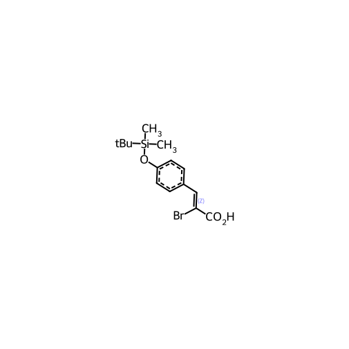 CC(C)(C)[Si](C)(C)Oc1ccc(/C=C(\Br)C(=O)O)cc1